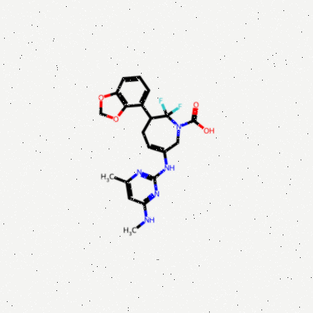 CNc1cc(C)nc(NC2=CCC(c3cccc4c3OCO4)C(F)(F)N(C(=O)O)C2)n1